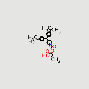 CCCC(OCC(=O)N1CCC(C(c2ccc(C(C)C)cc2)c2ccc(C(C)C)cc2)CC1)C(=O)O